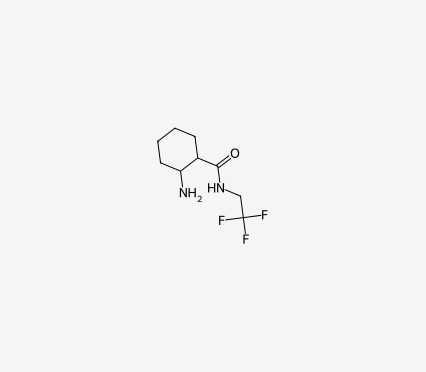 NC1CCCCC1C(=O)NCC(F)(F)F